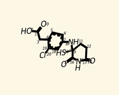 O=C(O)Cc1ccc(N[C@]2(S)CCC(=O)NC2=O)cc1Cl